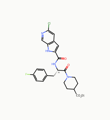 CCOC(=O)C1CCN(C(=O)[C@H](Cc2ccc(F)cc2)NC(=O)c2cc3cc(Cl)ncc3[nH]2)CC1